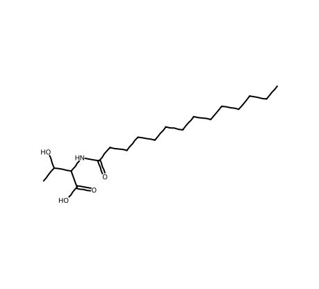 CCCCCCCCCCCCCC(=O)NC(C(=O)O)C(C)O